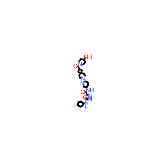 O=C(Nc1ccc(N2CCC3(CC2)CC(C(=O)N2CCC(O)CC2)C3)nc1)c1nnc(Nc2ccc(F)c(F)c2)o1